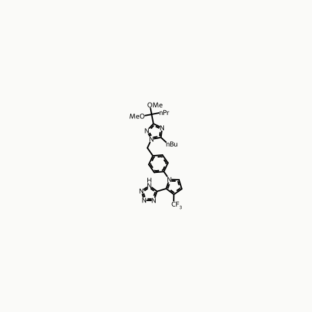 CCCCc1nc(C(CCC)(OC)OC)nn1Cc1ccc(-n2ccc(C(F)(F)F)c2-c2nnn[nH]2)cc1